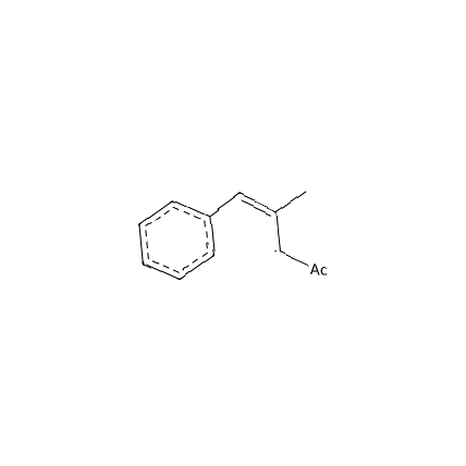 CC(=O)[CH]C(C)=Cc1ccccc1